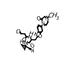 CN1CCN(c2ccc3nc(CC(NC(=O)CCCl)C(=O)NC4(C#N)CC4)oc3c2)C(=O)C1